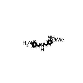 COc1ccc(CCNCCc2ccc(N)cc2)cc1N